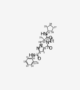 CCN1C(=O)c2cc(C(=O)Nc3ccccc3C)nn2CC1(C)C(=O)NC1CCCC1